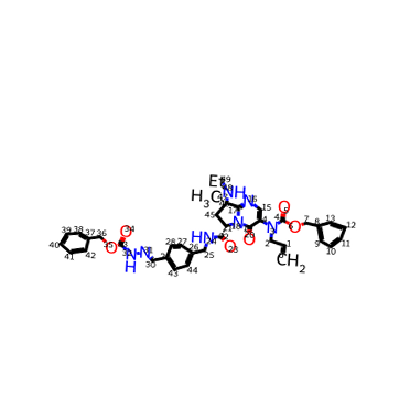 C=CCN(C(=O)OCc1ccccc1)c1cnc2n(c1=O)[C@H](C(=O)NCc1ccc(C=NNC(=O)OCc3ccccc3)cc1)C[C@@]2(C)NCC